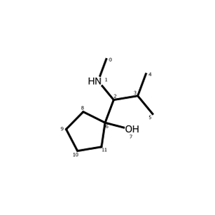 CNC(C(C)C)C1(O)CCCC1